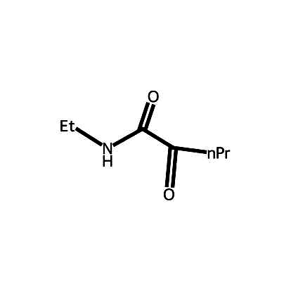 CCCC(=O)C(=O)NCC